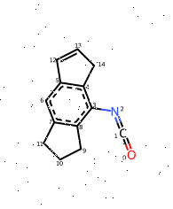 O=C=Nc1c2c(cc3c1CCC3)C=CC2